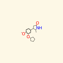 COc1ccc(C2CC(=O)NC2C)cc1OC1CCCC1